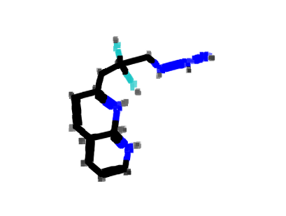 [N-]=[N+]=NCC(F)(F)Cc1ccc2cccnc2n1